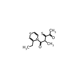 CCC1=[C]SC=CN1C(=O)C(C)C(=S)C(C)=O